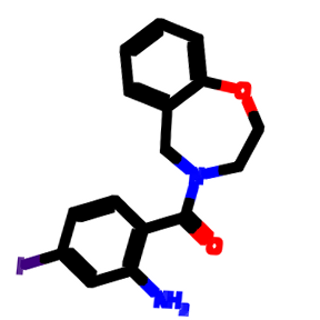 Nc1cc(I)ccc1C(=O)N1CCOc2ccccc2C1